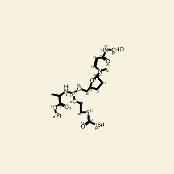 CC(C)OC(=O)C(C)NP(OCCSC(=O)C(C)(C)C)OCC1CCC(N(C)/C=C\C(=O)NC=O)O1